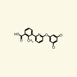 Cc1c(C(=O)O)cccc1-c1cccc(Oc2cc(Cl)cc(Cl)c2)n1